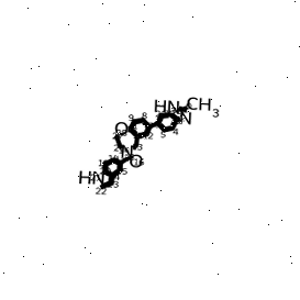 Cc1nc2ccc(-c3ccc4c(c3)CN(C(=O)c3ccc5[nH]ccc5c3)CCO4)cc2[nH]1